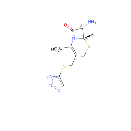 N[C@H]1C(=O)N2C(C(=O)O)=C(CSc3cnn[nH]3)CS[C@@H]12